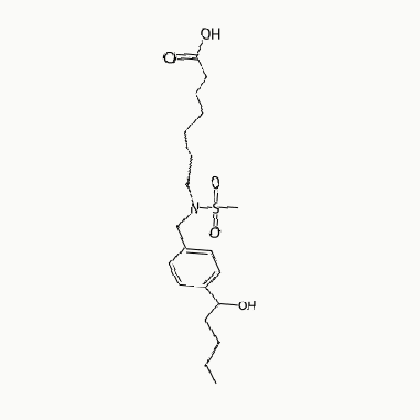 CCCCC(O)c1ccc(CN(CCCCCCC(=O)O)S(C)(=O)=O)cc1